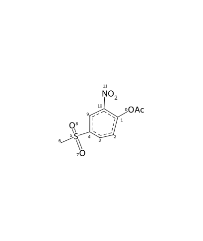 CC(=O)Oc1ccc(S(C)(=O)=O)cc1[N+](=O)[O-]